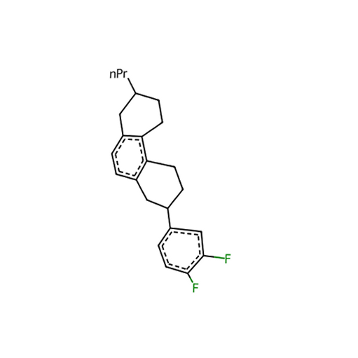 CCCC1CCc2c(ccc3c2CCC(c2ccc(F)c(F)c2)C3)C1